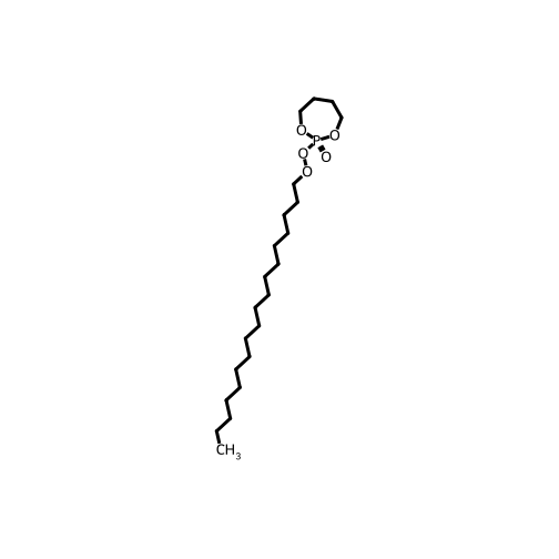 CCCCCCCCCCCCCCCCCCOOP1(=O)OCCCCO1